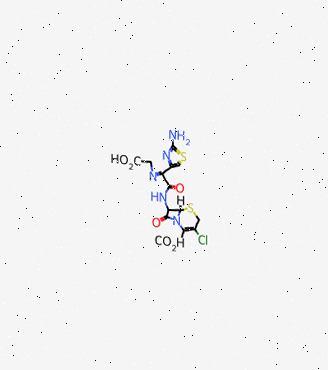 Nc1nc(C(=NCC(=O)O)C(=O)NC2C(=O)N3C(C(=O)O)=C(Cl)CS[C@@H]23)cs1